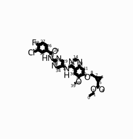 CCOC(=O)C1CC1COc1cc2ncnc(Nc3cnc(NC(=O)c4ccc(F)c(Cl)c4)nc3)c2cc1OC